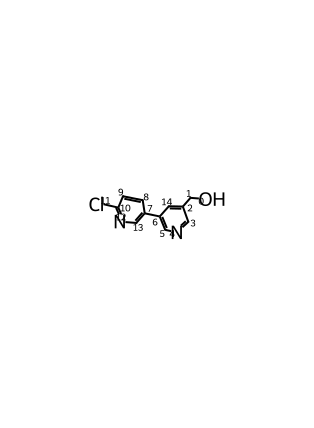 OCc1cncc(-c2ccc(Cl)nc2)c1